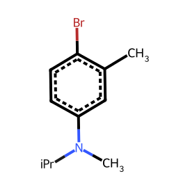 Cc1cc(N(C)C(C)C)ccc1Br